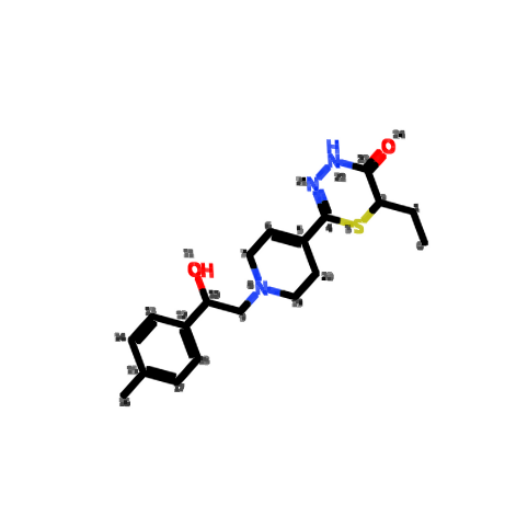 CCC1SC(C2=CCN(CC(O)c3ccc(C)cc3)CC2)=NNC1=O